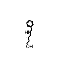 OCC[CH]CNCc1ccccc1